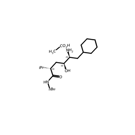 CC(=O)O.CCCCNC(=O)[C@@H](C[C@H](O)[C@@H](N)CC1CCCCC1)C(C)C